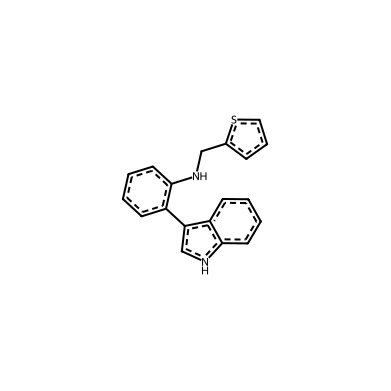 c1csc(CNc2ccccc2-c2c[nH]c3ccccc23)c1